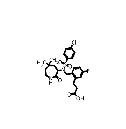 CC1(C)CCNC(=O)C(N(Cc2ccc(F)cc2CCC(=O)O)S(=O)(=O)c2ccc(Cl)cc2)C1